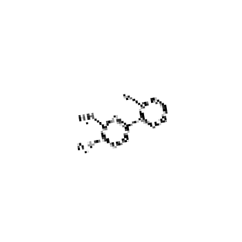 Nc1nc(-c2ccccc2Br)ccc1[N+](=O)[O-]